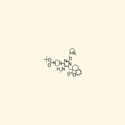 COC(=O)C1(Cc2nc(OC[C@@H]3CCCN3C)nc(N3CCN(C(=O)OC(C)(C)C)CC3)c2N)CCCc2ccccc21